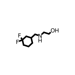 OCCNCC1CCCC(F)(F)C1